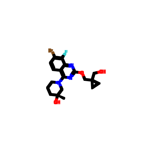 C[C@@]1(O)CCCN(c2nc(OCC3(CO)CC3)nc3c(F)c(Br)ccc23)C1